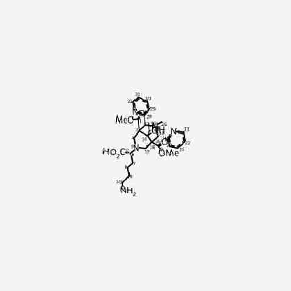 COC(=O)C12CN([C@@H](CCCCN)C(=O)O)CC(C(=O)OC)([C@@H](c3ccccn3)N(C)C1c1ccccn1)[C@H]2O